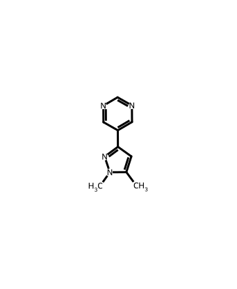 Cc1cc(-c2cncnc2)nn1C